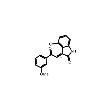 COc1cccc(C(=O)/C=C2/C(=O)Nc3cccc(Cl)c32)c1